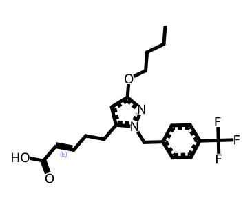 CCCCOc1cc(CC/C=C/C(=O)O)n(Cc2ccc(C(F)(F)F)cc2)n1